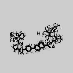 COC(=O)N[C@H](C(=O)N1CC2(C[C@H]1c1ncc(-c3ccc4cc(-c5ccc(-c6cnc([C@@H]7CCCN7C(=O)[C@H](NC(=O)OC)c7ccccc7)[nH]6)cc5)ccc4c3)[nH]1)OCCO2)C(C)C